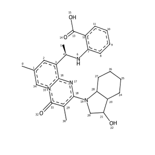 Cc1cc([C@@H](C)Nc2ccccc2C(=O)O)c2nc(N3CC(O)C4CCCCC43)c(C)c(=O)n2c1